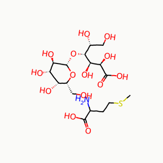 CSCCC(N)C(=O)O.O=C(O)[C@H](O)[C@@H](O)[C@H](O[C@@H]1O[C@H](CO)[C@H](O)[C@H](O)[C@H]1O)[C@H](O)CO